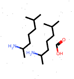 CC(C)CCCC(C)N.CC(C)CCCC(C)N.O=CO